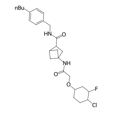 CCCCc1ccc(CNC(=O)C2CC3(NC(=O)COC4CCC(Cl)C(F)C4)CC2C3)cc1